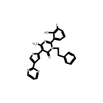 Cc1nc(-c2cccc(F)c2O)n(CCc2ccccc2)c(=O)c1-c1cc(-c2ncccn2)cs1